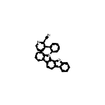 N#Cc1ncccc1-c1ccccc1-n1c2ccccc2c2ccc3c4ccccc4oc3c21